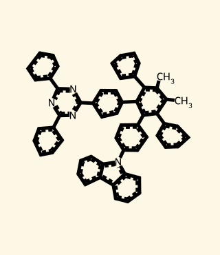 Cc1c(C)c(-c2ccccc2)c(-c2ccc(-n3c4ccccc4c4ccccc43)cc2)c(-c2ccc(-c3nc(-c4ccccc4)nc(-c4ccccc4)n3)cc2)c1-c1ccccc1